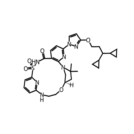 CC1(C)C[C@@H]2CN1c1nc(-n3ccc(OCCC(C4CC4)C4CC4)n3)ccc1C(=O)NS(=O)(=O)c1cccc(n1)NCCO2